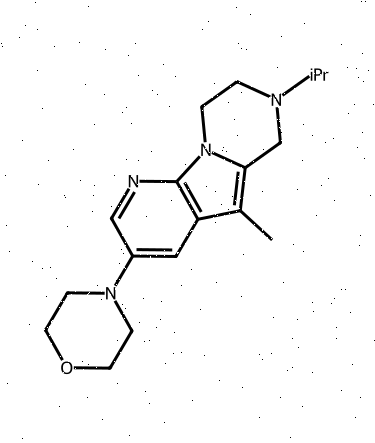 Cc1c2n(c3ncc(N4CCOCC4)cc13)CCN(C(C)C)C2